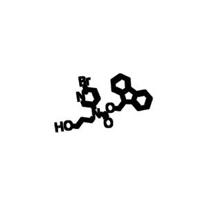 O=C(OCC1c2ccccc2-c2ccccc21)N(CCCO)c1ccc(Br)nc1